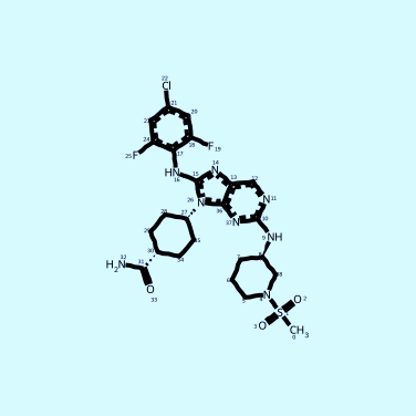 CS(=O)(=O)N1CCC[C@@H](Nc2ncc3nc(Nc4c(F)cc(Cl)cc4F)n([C@H]4CC[C@@H](C(N)=O)CC4)c3n2)C1